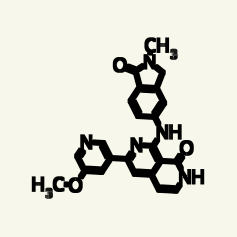 COc1cncc(-c2cc3cc[nH]c(=O)c3c(Nc3ccc4c(c3)CN(C)C4=O)n2)c1